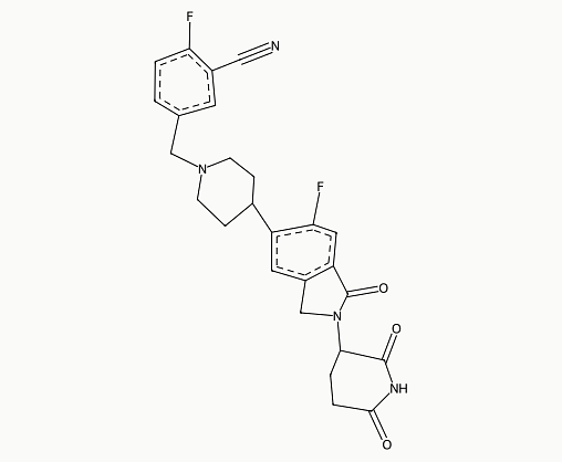 N#Cc1cc(CN2CCC(c3cc4c(cc3F)C(=O)N(C3CCC(=O)NC3=O)C4)CC2)ccc1F